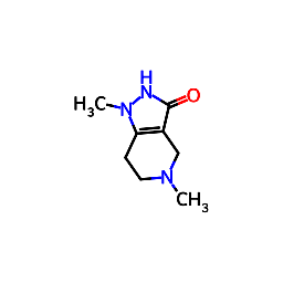 CN1CCc2c(c(=O)[nH]n2C)C1